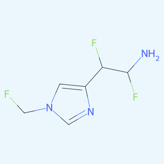 NC(F)C(F)c1cn(CF)cn1